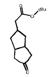 CC(C)(C)OC(=O)CC1CC2CC(=O)CC2C1